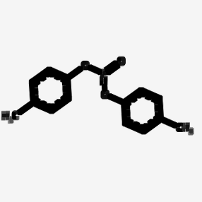 Cc1ccc(O[PH](=O)Oc2ccc(C)cc2)cc1